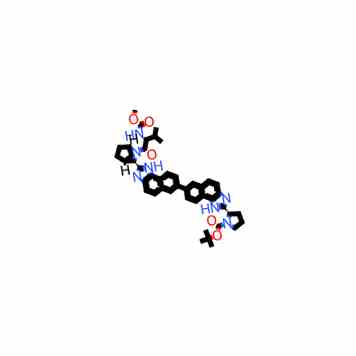 COC(=O)N[C@H](C(=O)N1[C@H]2CC[C@H](C2)[C@H]1c1nc2ccc3cc(-c4ccc5c(ccc6nc([C@@H]7CCCN7C(=O)OC(C)(C)C)[nH]c65)c4)ccc3c2[nH]1)C(C)C